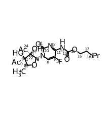 CC(=O)[C@@]1(O)[C@@H](C)O[C@@H](n2cc(F)c(NC(=O)OCCC(C)C)nc2=O)[C@@]1(O)C(C)=O